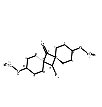 CCCCCCCCCCOC1CC[C@]2(CC1)C(=O)[C@@]1(CCC(OCCCCCCCCCC)CC1)C2F